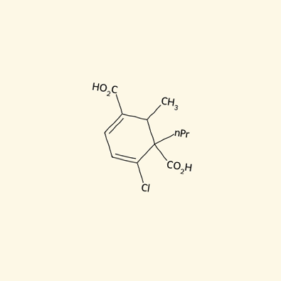 CCCC1(C(=O)O)C(Cl)=CC=C(C(=O)O)C1C